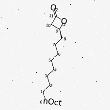 CCCCCCCCCCCCCCCC[C@H]1CC(=O)O1